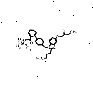 CCCCc1nc2cc(NCC(=O)CC)ccc2n1Cc1ccc(-c2ccccc2C(=O)OC(C)(C)C)cc1